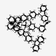 N#Cc1cccc(-c2cc(-n3c4cc(-n5c6ccccc6c6ccccc65)ccc4c4ccc(-n5c6ccccc6c6ccccc65)cc43)c(C(F)(F)F)c(-n3c4cc(-n5c6ccccc6c6ccccc65)ccc4c4ccc(-n5c6ccccc6c6ccccc65)cc43)c2)c1